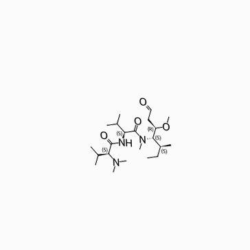 CC[C@H](C)[C@@H]([C@@H](CC=O)OC)N(C)C(=O)[C@@H](NC(=O)[C@H](C(C)C)N(C)C)C(C)C